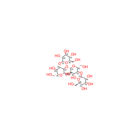 CC(C)C1O[C@H](CO)[C@@H](O)[C@H](O[C@@H]2O[C@H](CO)[C@@H](O)[C@H](O)[C@H]2O)[C@H]1O[C@@H]1O[C@H](CO)[C@@H](O[C@@H]2O[C@H](CO)[C@@H](O)[C@H](O)[C@H]2O)[C@H](O)[C@H]1O